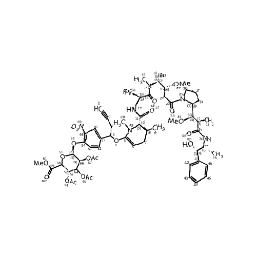 C#CCC(OC1=CCC(C)[C@@H](C(=O)N[C@H](C(=O)N(C)[C@@H]([C@@H](C)CC)[C@@H](CC(=O)N2CCC[C@H]2[C@H](OC)[C@@H](C)C(=O)N[C@H](C)[C@@H](O)c2ccccc2)OC)C(C)C)N1C)c1ccc(O[C@@H]2OC(C(=O)OC)[C@@H](OC(C)=O)C(OC(C)=O)[C@@H]2OC(C)=O)c([N+](=O)[O-])c1